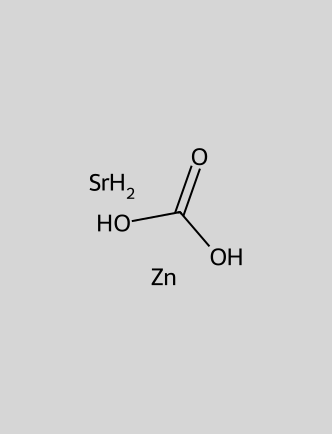 O=C(O)O.[SrH2].[Zn]